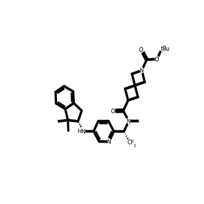 CN(C(=O)C1CC2(C1)CN(C(=O)OC(C)(C)C)C2)[C@@H](c1ccc(N[C@H]2Cc3ccccc3C2(C)C)cn1)C(F)(F)F